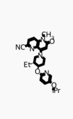 CC[C@@H]1CN(c2cc(=O)n(C)c3ccc(C#N)nc23)CC[C@H]1Oc1ccc(OC(C)C)cn1